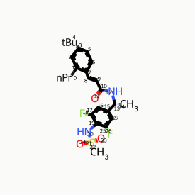 CCCc1cc(C(C)(C)C)ccc1/C=C/C(=O)N[C@H](C)c1cc(F)c(NS(C)(=O)=O)c(F)c1